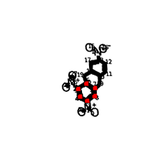 O=[N+]([O-])c1ccc2c(c1)C1c3ccc([N+](=O)[O-])cc3C2c2c1cccc2[N+](=O)[O-]